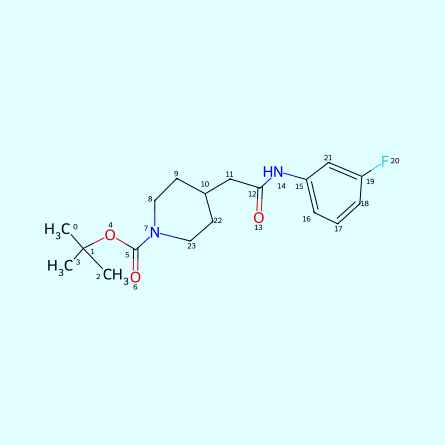 CC(C)(C)OC(=O)N1CCC(CC(=O)Nc2cccc(F)c2)CC1